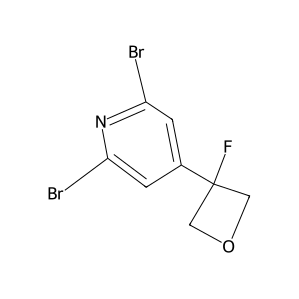 FC1(c2cc(Br)nc(Br)c2)COC1